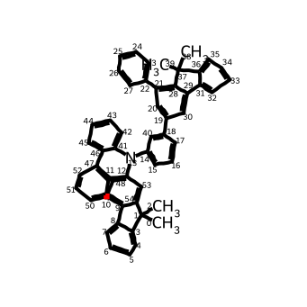 CC1(C)c2ccccc2-c2ccc(N(c3cccc(-c4cc(-c5ccccc5)c5c(c4)-c4ccccc4C5(C)C)c3)c3ccccc3-c3ccccc3)cc21